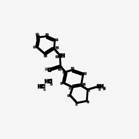 Cl.Cl.NC1CCCc2cc(C(=O)Nc3ccncc3)ccc21